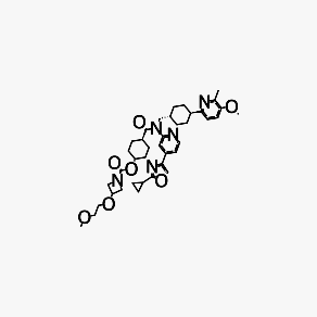 COCCOC1CN(C(=O)O[C@H]2CC[C@H](C(=O)N(C[C@H]3CC[C@H](c4ccc(OC)c(C)n4)CC3)c3cc(-c4coc(C5CC5)n4)ccn3)CC2)C1